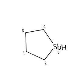 C1C[CH2][SbH][CH2]1